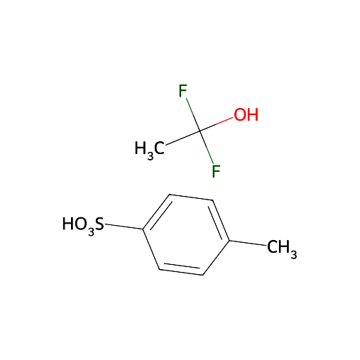 CC(O)(F)F.Cc1ccc(S(=O)(=O)O)cc1